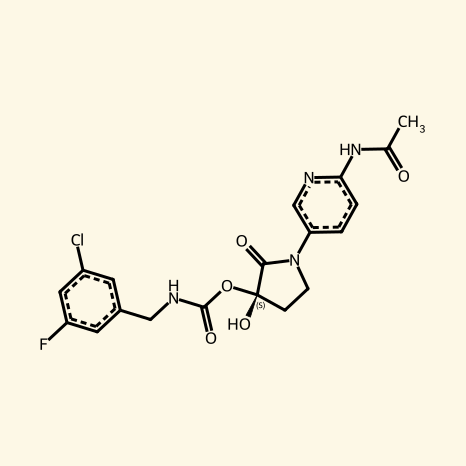 CC(=O)Nc1ccc(N2CC[C@](O)(OC(=O)NCc3cc(F)cc(Cl)c3)C2=O)cn1